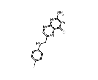 Nc1nc2ncc(CNc3ccc(I)cc3)nc2c(=O)[nH]1